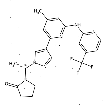 Cc1cc(Nc2cc(C(F)(F)F)ccn2)nc(-c2cnn([C@@H](C)N3CCCC3=O)c2)c1